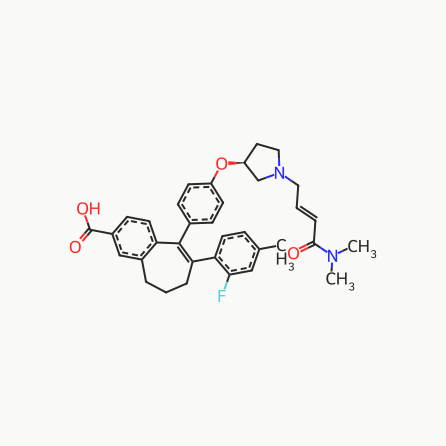 Cc1ccc(C2=C(c3ccc(O[C@H]4CCN(C/C=C/C(=O)N(C)C)C4)cc3)c3ccc(C(=O)O)cc3CCC2)c(F)c1